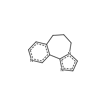 c1cc2c(cn1)-c1nccn1CCC2